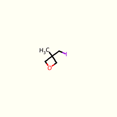 CC1(CI)COC1